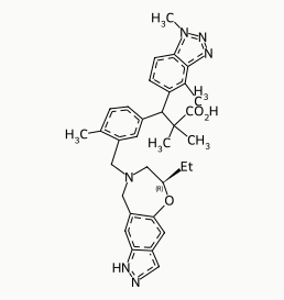 CC[C@@H]1CN(Cc2cc(C(c3ccc4c(nnn4C)c3C)C(C)(C)C(=O)O)ccc2C)Cc2cc3[nH]ncc3cc2O1